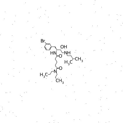 CCCN(CCC)C(=O)CCCC(=O)N[C@@H](Cc1cccc(Br)c1)[C@H](O)CNCCC(C)C